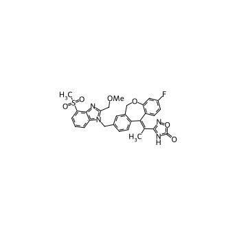 COCc1nc2c(S(C)(=O)=O)cccc2n1Cc1ccc2c(c1)COc1cc(F)ccc1/C2=C(/C)c1noc(=O)[nH]1